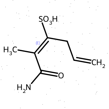 C=CC/C(=C(/C)C(N)=O)S(=O)(=O)O